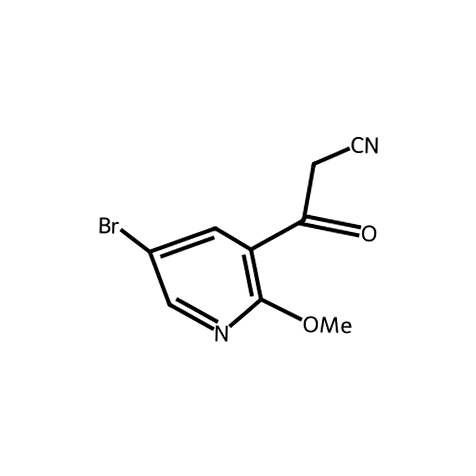 COc1ncc(Br)cc1C(=O)CC#N